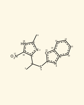 Cc1nc(C(C)Sc2nc3ccccc3o2)c([N+](=O)[O-])[nH]1